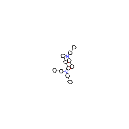 c1ccc(-c2ccc(N(c3ccc(-c4ccccc4)cc3)c3cccc(-c4ccc(-c5ccccc5N(c5ccc(-c6ccccc6)cc5)c5ccc(-c6ccccc6)cc5)cc4)c3)cc2)cc1